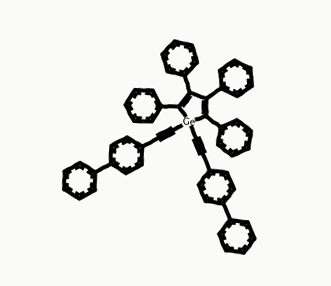 C(#[C][Ge]1([C]#Cc2ccc(-c3ccccc3)cc2)[C](c2ccccc2)=C(c2ccccc2)C(c2ccccc2)=[C]1c1ccccc1)c1ccc(-c2ccccc2)cc1